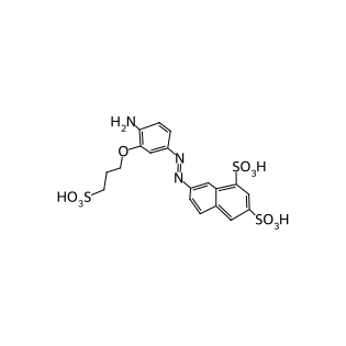 Nc1ccc(N=Nc2ccc3cc(S(=O)(=O)O)cc(S(=O)(=O)O)c3c2)cc1OCCCS(=O)(=O)O